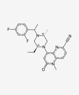 CC[C@H]1CN(C(C)c2ccc(F)cc2F)[C@H](C)CN1c1cc(=O)n(C)c2ccc(C#N)nc12